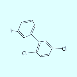 Clc1c[c]c(Cl)c(-c2cccc(I)c2)c1